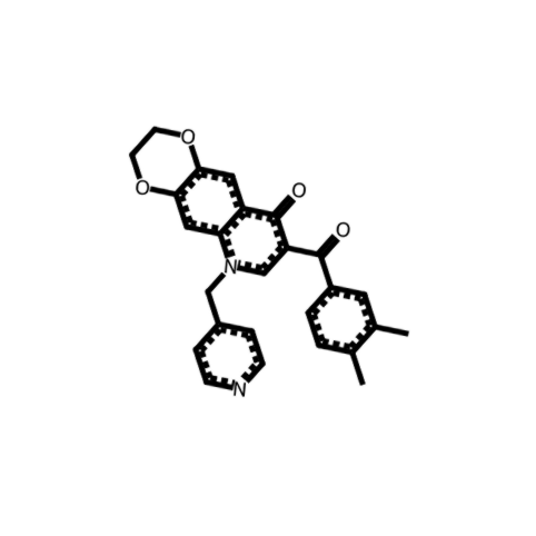 Cc1ccc(C(=O)c2cn(Cc3ccncc3)c3cc4c(cc3c2=O)OCCO4)cc1C